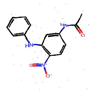 CC(=O)Nc1ccc([N+](=O)[O-])c(Nc2[c]cccc2)c1